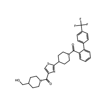 O=C(c1csc(C2CCN(C(=O)c3ccccc3-c3ccc(C(F)(F)F)cc3)CC2)n1)N1CCC(CO)CC1